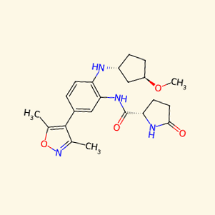 CO[C@@H]1CC[C@@H](Nc2ccc(-c3c(C)noc3C)cc2NC(=O)[C@@H]2CCC(=O)N2)C1